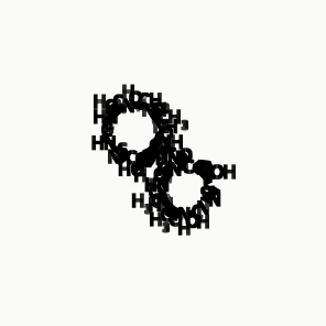 C[C@@H]1NC(=O)CNc2ncc(s2)Cc2cc(ccc2O)C[C@@H](C(=O)NCC(=O)N[C@H]2Cc3ccc(O)c(c3)Cc3cnc(s3)NCCCNC(=O)[C@H](C)NC(=O)[C@H](C)NC(=O)[C@H](C)NC2=O)NC(=O)[C@H](C)NC(=O)[C@H](C)NC1=O